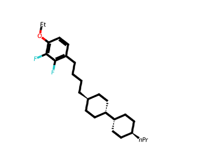 CCC[C@H]1CC[C@H]([C@H]2CC[C@H](CCCCc3ccc(OCC)c(F)c3F)CC2)CC1